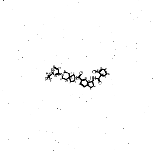 O=C(NC1CCc2ccc(C(=O)N3CCC4(CCN(c5ccnc(C(F)(F)F)c5)CC4)C3)cc21)c1ccccc1Cl